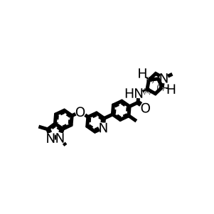 Cc1cc(-c2cc(Oc3ccc4c(C)nn(C)c4c3)ccn2)ccc1C(=O)N[C@@H]1C[C@H]2C[C@@H]1CN2C